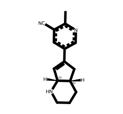 Cc1ncc(C2=C[C@H]3NCCC[C@H]3C2)cc1C#N